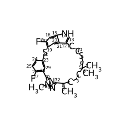 CC1CCCC(C)(C)CSCCc2c[nH]c3cc(F)c(cc23)Sc2ccc(F)c(c2)-c2nc1nn2C